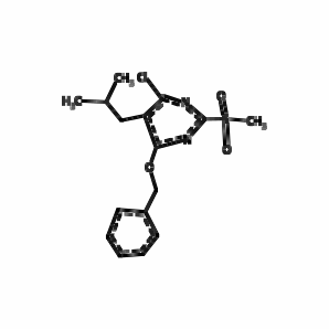 CC(C)Cc1c(Cl)nc(S(C)(=O)=O)nc1OCc1ccccc1